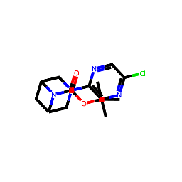 CC(C)(C)OC(=O)N1C2CC1CN(c1cnc(Cl)cn1)C2